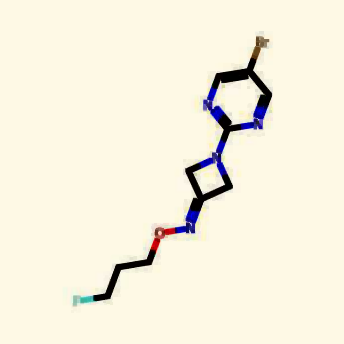 FCCCON=C1CN(c2ncc(Br)cn2)C1